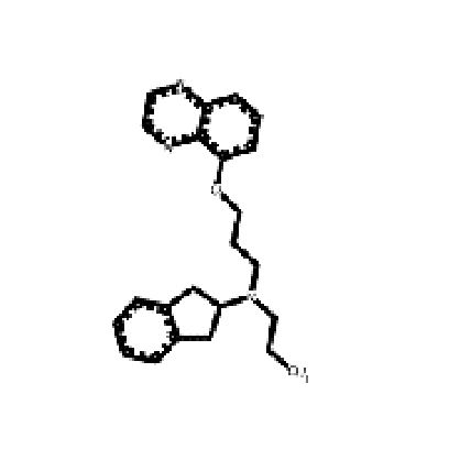 CCCN(CCCOc1cccc2nccnc12)C1Cc2ccccc2C1